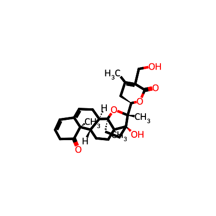 CC1=C(CO)C(=O)O[C@@H]([C@@]2(C)O[C@@]34CC[C@]2(O)[C@@]3(C)CC[C@H]2[C@H]4CC=C3C=CCC(=O)[C@@]32C)C1